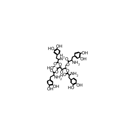 NC(Cc1ccc(O)c(O)c1)C(=O)OC[C@@H](OC(=O)C(N)Cc1ccc(O)c(O)c1)[C@@H](O)[C@H](OC(=O)C(N)Cc1ccc(O)c(O)c1)[C@@H](CO)OC(=O)C(N)Cc1ccc(O)c(O)c1